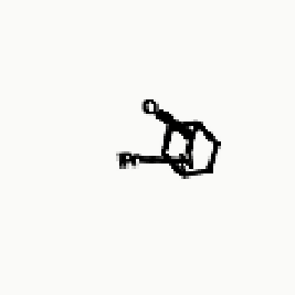 CC(C)N1C(=O)C2CCC1CC2